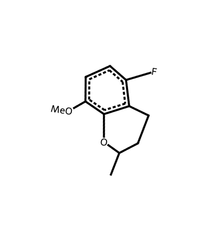 COc1ccc(F)c2c1OC(C)CC2